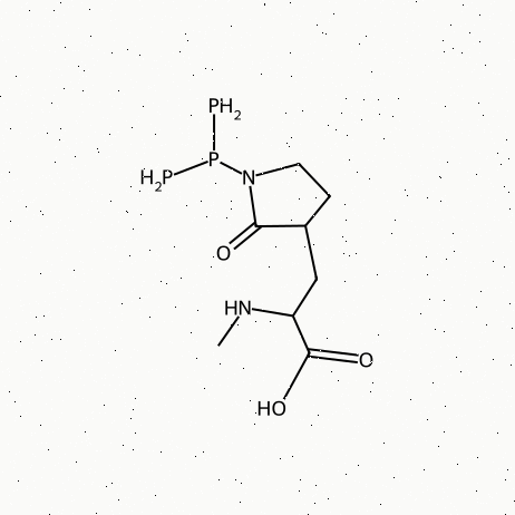 CNC(CC1CCN(P(P)P)C1=O)C(=O)O